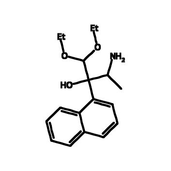 CCOC(OCC)C(O)(c1cccc2ccccc12)C(C)N